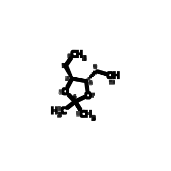 CC[C@@H]1OC(C)(C)O[C@H]1CO